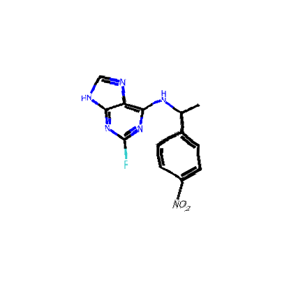 CC(Nc1nc(F)nc2[nH]cnc12)c1ccc([N+](=O)[O-])cc1